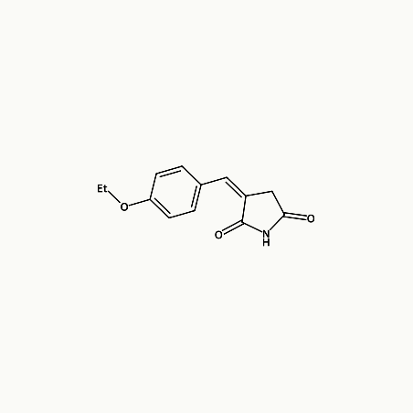 CCOc1ccc(C=C2CC(=O)NC2=O)cc1